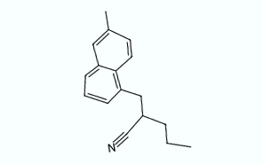 CCCC(C#N)Cc1cccc2cc(C)ccc12